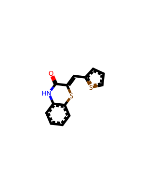 O=C1Nc2ccccc2SC1=Cc1cccs1